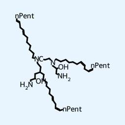 CCCCCC=CC/C=C/CCCCCCN(CCCN(CCCCCC/C=C\C/C=C\CCCCC)CC(O)CN)CCC(CCCCCC/C=C/C/C=C\CCCCC)CC(O)CN